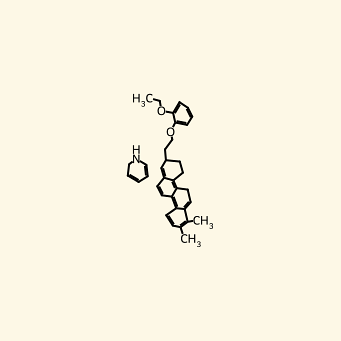 C1=CCNC=C1.CCOc1ccccc1OCCC1C=c2ccc3c(c2CC1)CC=c1c(C)c(C)ccc1=3